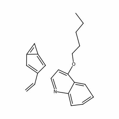 C=Cc1cc2cc-2c1.CCCCCOc1ccnc2ccccc12